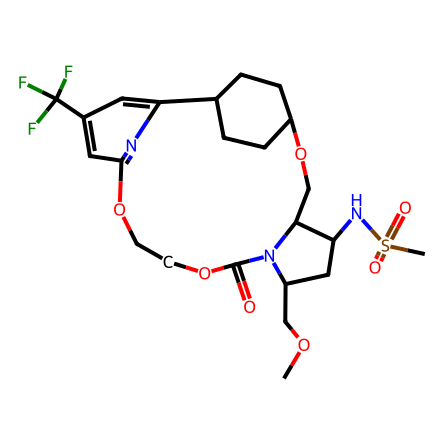 COCC1CC(NS(C)(=O)=O)C2COC3CCC(CC3)c3cc(C(F)(F)F)cc(n3)OCCOC(=O)N12